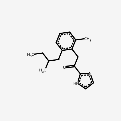 CCC(C)[CH]c1cccc(C)c1CC(=O)c1ncc[nH]1